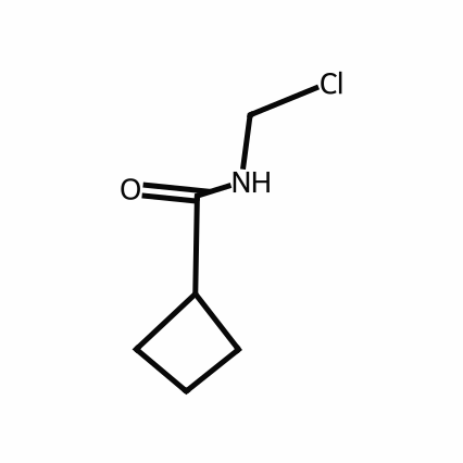 O=C(NCCl)C1CCC1